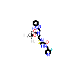 CC(C)(C)OC(=O)N(CCc1nc(C(=O)NCc2ccncc2F)cs1)Cc1nc2ccccc2[nH]1